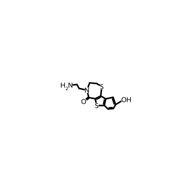 NCCN1CCSc2c(sc3ccc(O)cc23)C1=O